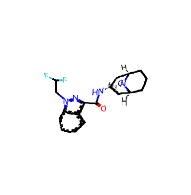 CN1[C@@H]2CCC[C@H]1C[C@H](NC(=O)c1nn(CC(F)F)c3ccccc13)C2